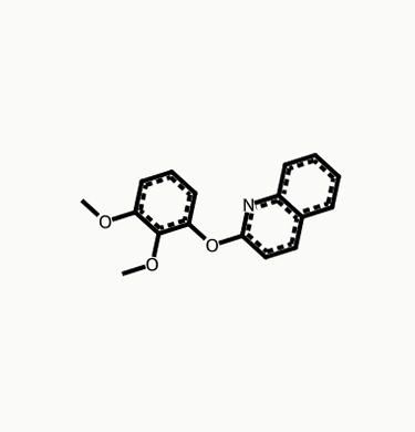 COc1cccc(Oc2ccc3ccccc3n2)c1OC